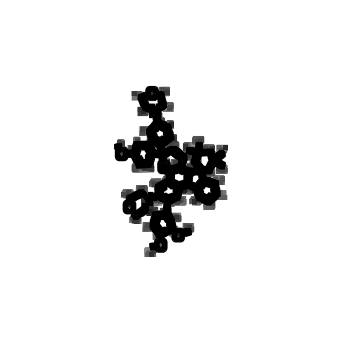 COc1ccc(C2(c3ccc(N4CCOCC4)cc3)C=Cc3c4c(c5cc(-c6ccc(OC)c(OC)c6)c(N6CCOCC6)cc5c3O2)-c2ccccc2C42CC(C)(C)CC(C)(C)C2)cc1